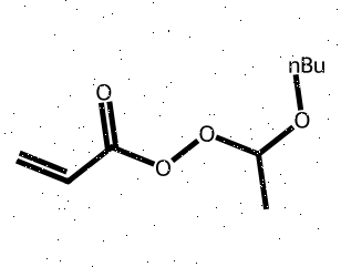 C=CC(=O)OOC(C)OCCCC